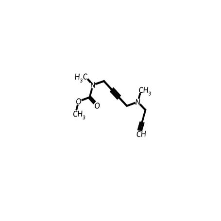 C#CCN(C)CC#CCN(C)C(=O)OC